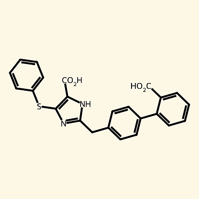 O=C(O)c1ccccc1-c1ccc(Cc2nc(Sc3ccccc3)c(C(=O)O)[nH]2)cc1